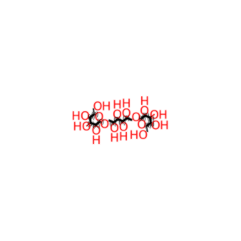 OC[C@H]1O[C@H](OC[C@@H](O)[C@@H](O)[C@H](O)[C@@H](O)CO[C@H]2O[C@H](CO)[C@@H](O)[C@H](O)[C@H]2O)[C@H](O)[C@@H](O)[C@@H]1O